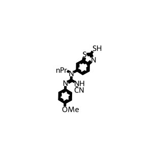 CCCN(/C(=N/c1ccc(OC)cc1)NC#N)c1ccc2nc(S)sc2c1